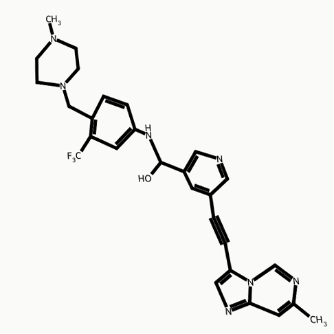 Cc1cc2ncc(C#Cc3cncc(C(O)Nc4ccc(CN5CCN(C)CC5)c(C(F)(F)F)c4)c3)n2cn1